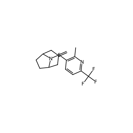 C=C1CC2CCC(C1)N2Sc1ccc(C(F)(F)F)nc1C